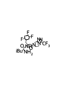 CCC(C)C(N)C(=O)NC(CC(=O)N1CCn2c(nnc2C(F)(F)F)C1)Cc1cc(F)c(F)cc1F